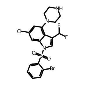 O=S(=O)(c1ccccc1Br)n1cc(C(F)F)c2c(N3CCNCC3)cc(Cl)cc21